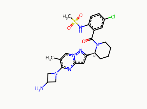 Cc1cn2nc([C@@H]3CCCCN3C(=O)c3cc(Cl)ccc3NS(C)(=O)=O)cc2nc1N1CC(N)C1